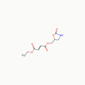 CCOC(=O)/C=C/C(=O)OCC1CNC(=O)O1